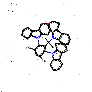 CC(C)(c1c(-n2c3ccccc3c3ccccc32)c(C#N)cc(C#N)c1-n1c2ccccc2c2ccccc21)n1c2ccccc2c2ccccc21